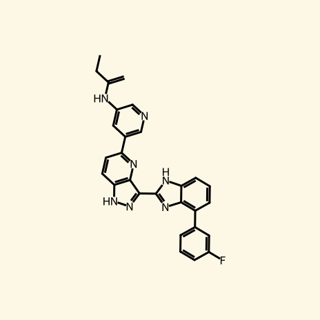 C=C(CC)Nc1cncc(-c2ccc3[nH]nc(-c4nc5c(-c6cccc(F)c6)cccc5[nH]4)c3n2)c1